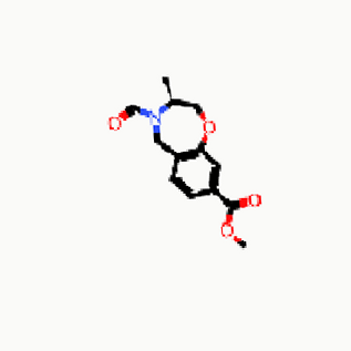 COC(=O)c1ccc2c(c1)OC[C@H](C)N(C=O)C2